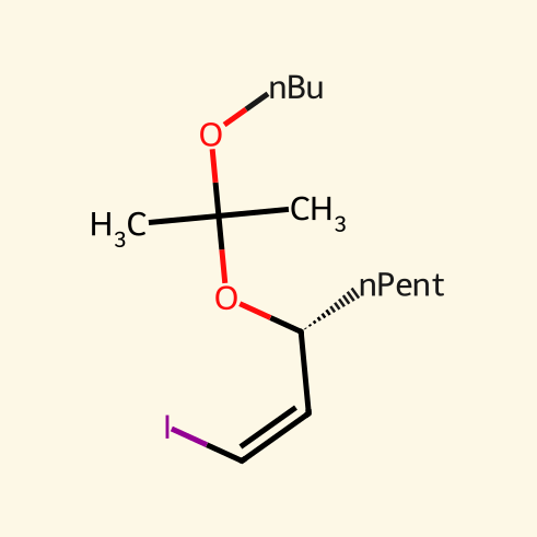 CCCCC[C@H](/C=C\I)OC(C)(C)OCCCC